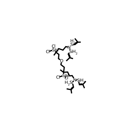 CC(C)=C[SiH2]N(CCCC(C)(CCOCCC(C)(CCCN([SiH2]C=C(C)C)[SiH2]C=C(C)C)[SiH](Cl)Cl)[SiH](Cl)Cl)[SiH2]C=C(C)C